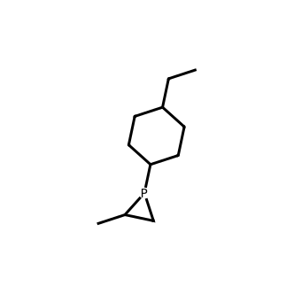 CCC1CCC(P2CC2C)CC1